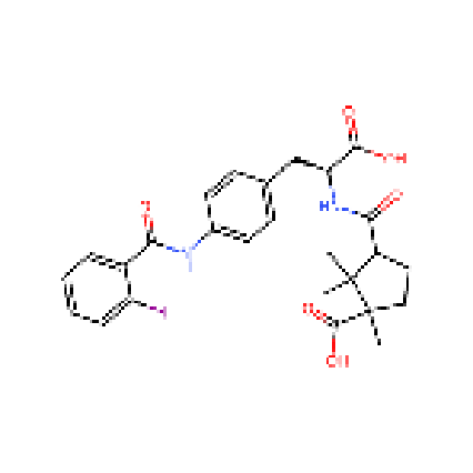 CC1(C(=O)O)CCC(C(=O)N[C@@H](Cc2ccc(NC(=O)c3ccccc3I)cc2)C(=O)O)C1(C)C